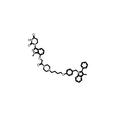 Cc1c(-c2ccccc2)n(Cc2ccc(OCCCCN3CCN(C(=O)COc4cccc5c(N6CCC(=O)NC6=O)nn(C)c45)CC3)cc2)c2ccccc12